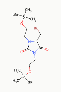 CC(C)(C)[Si](C)(C)OCCN1C(=O)C(CBr)N(CCO[Si](C)(C)C(C)(C)C)C1=O